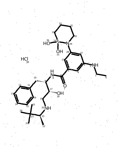 CCNc1cc(C(=O)N[C@@H](Cc2ccccc2)[C@H](O)CN[C@@H](C)C(C)(C)C)cc(N2CCCCS2(O)O)c1.Cl